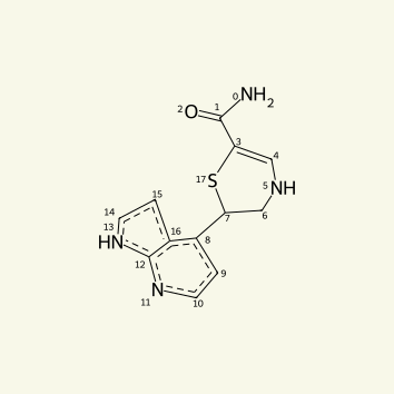 NC(=O)C1=CNCC(c2ccnc3[nH]ccc23)S1